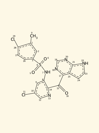 Cc1cc(S(=O)(=O)Nc2cc(Cl)cnc2C(=O)c2ncnc3[nH]ccc23)ccc1Cl